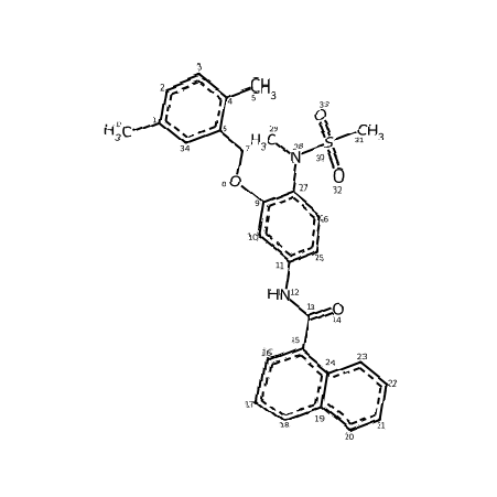 Cc1ccc(C)c(COc2cc(NC(=O)c3cccc4ccccc34)ccc2N(C)S(C)(=O)=O)c1